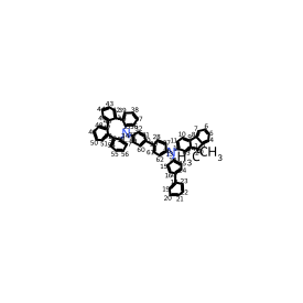 CC1(C)c2ccccc2-c2ccc(N(c3ccc(-c4ccccc4)cc3)c3ccc(-c4ccc(-n5c6ccccc6c6ccccc6c6ccccc6c6ccccc65)cc4)cc3)cc21